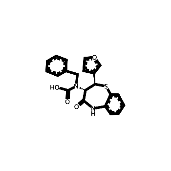 O=C1Nc2ccccc2S[C@H](c2ccoc2)[C@H]1N(Cc1ccccc1)C(=O)O